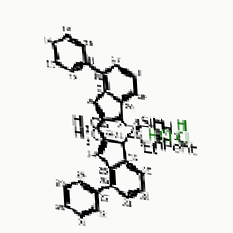 CCCCCC.C[CH2][Zr]([SiH3])([CH]1C(C)=Cc2c(-c3ccccc3)cccc21)[CH]1C(C)=Cc2c(-c3ccccc3)cccc21.Cl.Cl